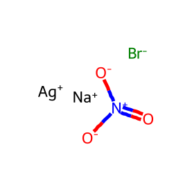 O=[N+]([O-])[O-].[Ag+].[Br-].[Na+]